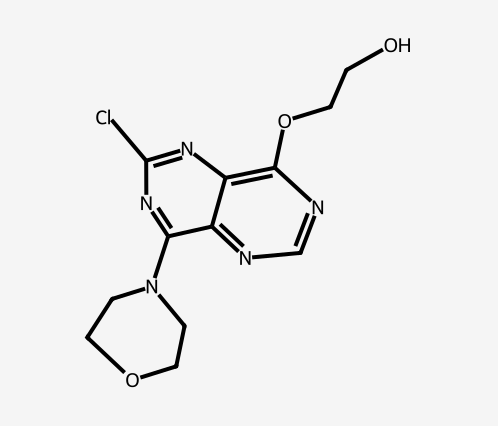 OCCOc1ncnc2c(N3CCOCC3)nc(Cl)nc12